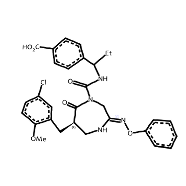 CCC(NC(=O)N1C/C(=N/Oc2ccccc2)NC[C@@H](Cc2cc(Cl)ccc2OC)C1=O)c1ccc(C(=O)O)cc1